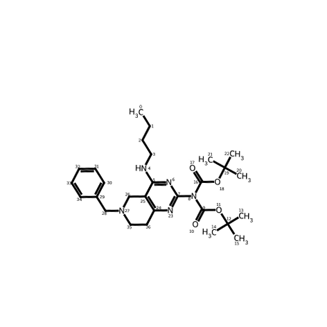 CCCCNc1nc(N(C(=O)OC(C)(C)C)C(=O)OC(C)(C)C)nc2c1CN(Cc1ccccc1)CC2